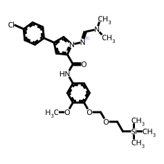 COc1cc(NC(=O)c2cc(-c3ccc(Cl)cc3)cn2/N=C/N(C)C)ccc1OCOCC[Si](C)(C)C